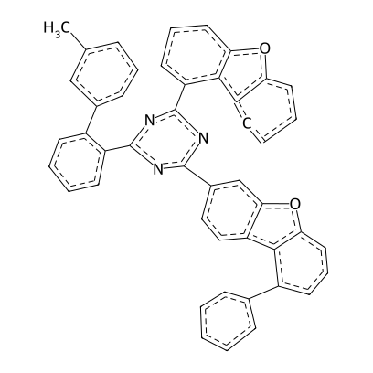 Cc1cccc(-c2ccccc2-c2nc(-c3ccc4c(c3)oc3cccc(-c5ccccc5)c34)nc(-c3cccc4oc5ccccc5c34)n2)c1